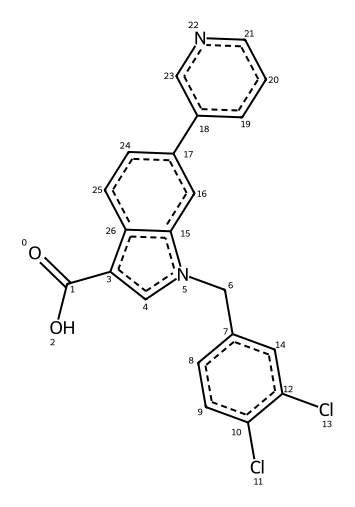 O=C(O)c1cn(Cc2ccc(Cl)c(Cl)c2)c2cc(-c3cccnc3)ccc12